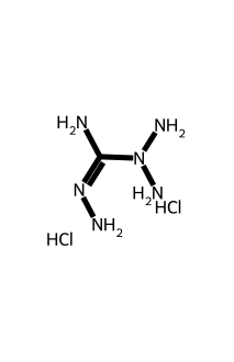 Cl.Cl.NN=C(N)N(N)N